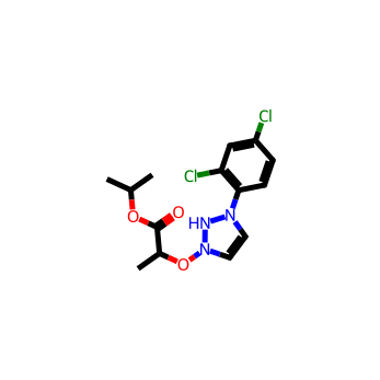 CC(C)OC(=O)C(C)ON1C=CN(c2ccc(Cl)cc2Cl)N1